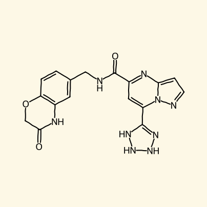 O=C1COc2ccc(CNC(=O)c3cc(C4=NNNN4)n4nccc4n3)cc2N1